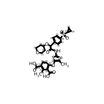 Cc1nc(NC(=O)C(OC2CCOCC2)c2ccc(S(=O)(=O)C3CC3)cc2)sc1Oc1ccc(C(=O)O)c(C)c1C(=O)O